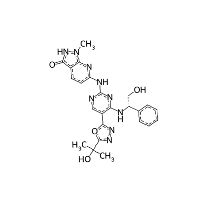 Cn1[nH]c(=O)c2ccc(Nc3ncc(-c4nnc(C(C)(C)O)o4)c(N[C@H](CO)c4ccccc4)n3)nc21